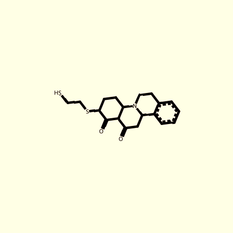 O=C1CC2c3ccccc3CCN2C2CCC(SCCS)C(=O)C12